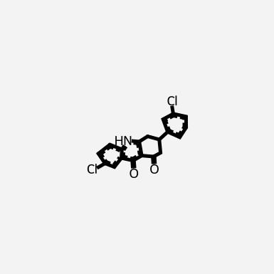 O=C1CC(c2cccc(Cl)c2)Cc2[nH]c3ccc(Cl)cc3c(=O)c21